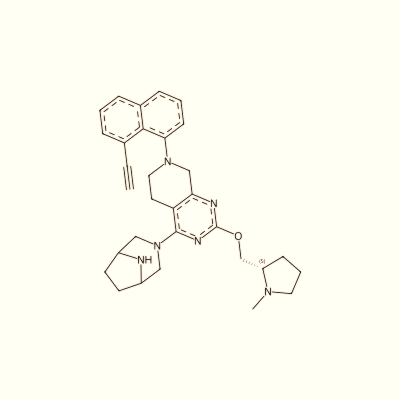 C#Cc1cccc2cccc(N3CCc4c(nc(OC[C@@H]5CCCN5C)nc4N4CC5CCC(C4)N5)C3)c12